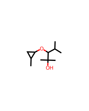 CC(C)C(OC1CC1C)C(C)(C)O